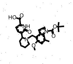 COc1cc(C)c2c(ccn2C(=O)OC(C)(C)C)c1CN1CCCCC1c1ccc(C(=O)O)[nH]c1=O